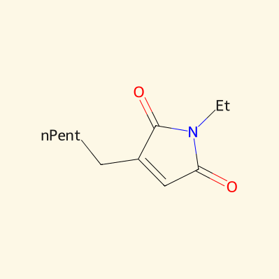 CCCCCCC1=CC(=O)N(CC)C1=O